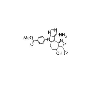 COC(=O)c1ccc(-n2c3c(c4c(N)ncnc42)-c2noc(C4CC4)c2C(O)CC3)cc1